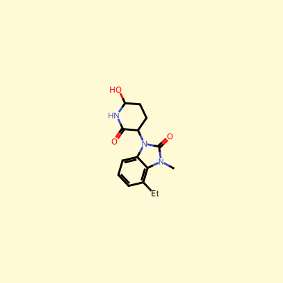 CCc1cccc2c1n(C)c(=O)n2C1CCC(O)NC1=O